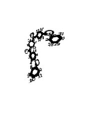 O=C(c1ccc(Oc2ccccc2)cc1)C1CCC(C(=O)c2ccc(Oc3ccccc3)cc2)CC1